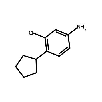 Nc1ccc(C2CCCC2)c(Cl)c1